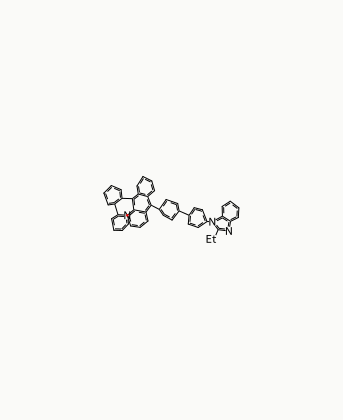 CCc1nc2ccccc2n1-c1ccc(-c2ccc(-c3c4ccccc4c(-c4ccccc4-c4ccccn4)c4ccccc34)cc2)cc1